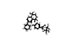 CC1(C)CCC(C)(C)c2c1ccc1c3ccccc3n(-c3ccc(B4OC(C)(C)C(C)(C)O4)cc3)c21